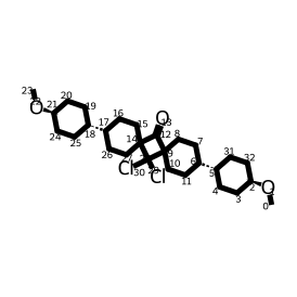 CO[C@H]1CC[C@H](C2CCC3(CC2)C(=O)C2(CCC([C@H]4CC[C@H](OC)CC4)CC2)C3(Cl)Cl)CC1